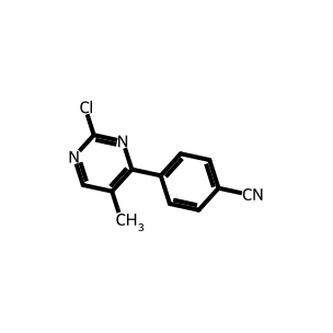 Cc1cnc(Cl)nc1-c1ccc(C#N)cc1